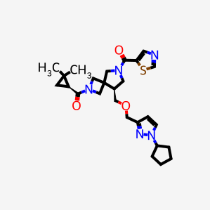 CC1(C)C[C@@H]1C(=O)N1CC2(CN(C(=O)c3cncs3)C[C@H]2COCc2ccn(C3CCCC3)n2)C1